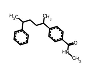 CNC(=O)c1ccc(C(C)CCC(C)c2ccccc2)cc1